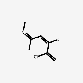 C=C(Cl)/C(Cl)=C\C(C)=N/C